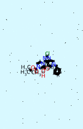 CC(C)(C)OC(=O)N1CCN(c2nc(Cl)nc3c2CCN(Cc2ccccc2)C3)C(C)(C(=O)O)C1